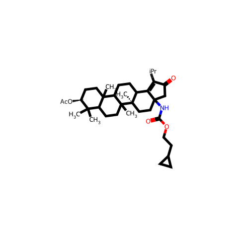 CC(=O)O[C@H]1CCC2(C)C(CCC3(C)C2CCC2C4=C(C(C)C)C(=O)CC4(NC(=O)OCCC4CC4)CC[C@]23C)C1(C)C